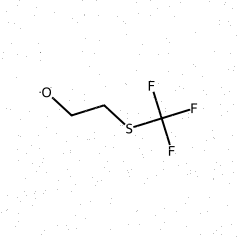 [O]CCSC(F)(F)F